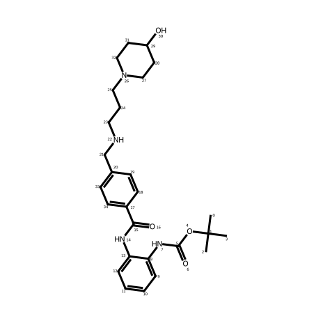 CC(C)(C)OC(=O)Nc1ccccc1NC(=O)c1ccc(CNCCCN2CCC(O)CC2)cc1